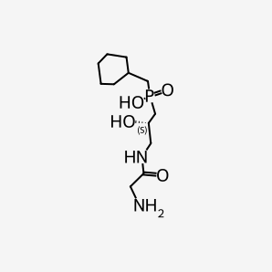 NCC(=O)NC[C@H](O)CP(=O)(O)CC1CCCCC1